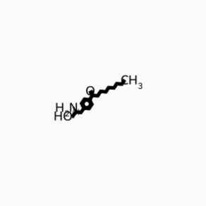 CCCCCCCCC(=O)c1ccc(C[C@H](N)CO)cc1